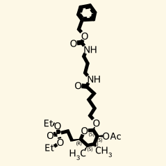 CCOP(=O)(CC[C@H]1O[C@H](OCCCCC(=O)NCCCNC(=O)OCc2ccccc2)[C@@H](OC(C)=O)[C@@H](C)[C@@H]1C)OCC